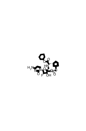 C[C@H](NC[C@]1(CO[PH](=O)Oc2ccccc2)O[C@@H](n2ccc(N)nc2=O)[C@H](F)[C@@H]1O)C(=O)OC1CCCCC1